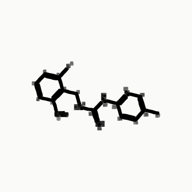 COc1cccc(F)c1CNC(=N)Nc1ccc(C)cn1